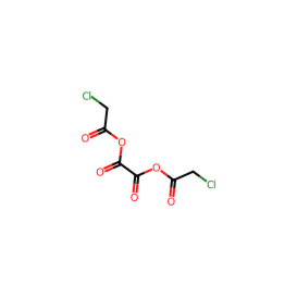 O=C(CCl)OC(=O)C(=O)OC(=O)CCl